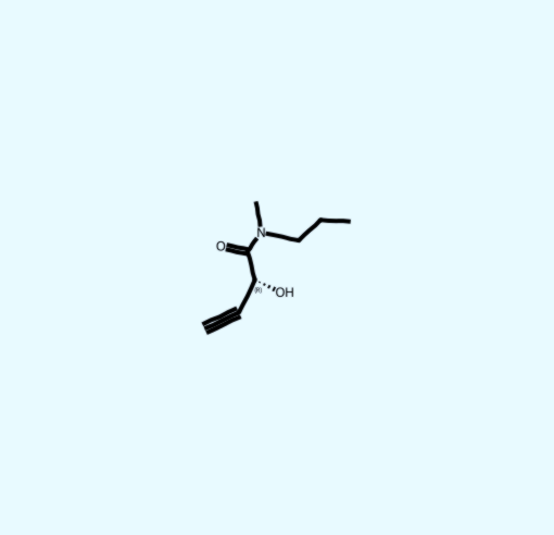 C#C[C@@H](O)C(=O)N(C)CCC